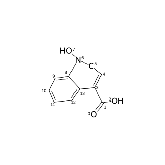 O=C(O)C1=CCN(O)c2ccccc21